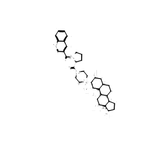 C[C@H]1CCC2C3CCC4C[C@H](O)[C@@H]([N+]5([O-])CCN(C(=O)[C@@H]6CCCN6C(=O)c6cnc7ccccc7c6)CC5)C[C@]4(C)C3CC[C@@]21C